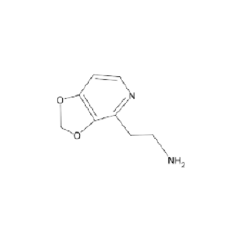 NCCc1nccc2c1OCO2